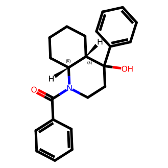 O=C(c1ccccc1)N1CCC(O)(c2ccccc2)[C@H]2CCCC[C@H]21